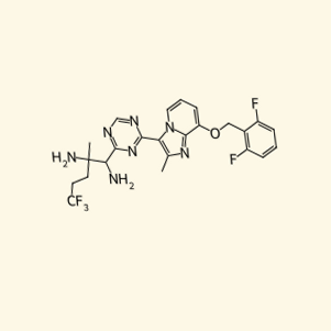 Cc1nc2c(OCc3c(F)cccc3F)cccn2c1-c1ncnc(C(N)C(C)(N)CCC(F)(F)F)n1